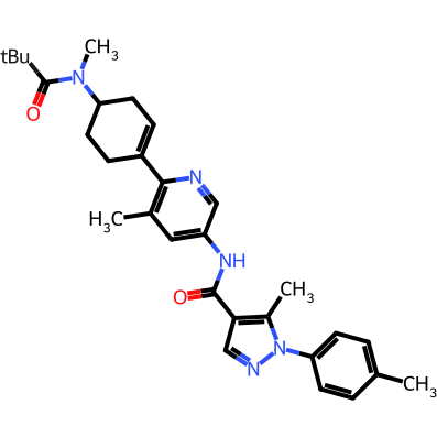 Cc1ccc(-n2ncc(C(=O)Nc3cnc(C4=CCC(N(C)C(=O)C(C)(C)C)CC4)c(C)c3)c2C)cc1